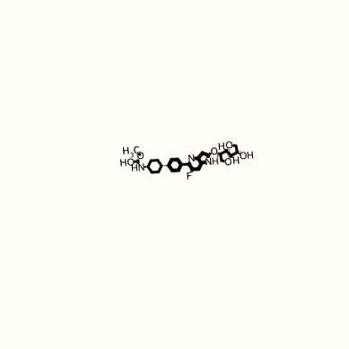 COC(O)N[C@H]1CC[C@H](c2ccc(-c3nc4cc(O[C@@H]5CO[C@H]6[C@@H]5OC[C@H]6O)[nH]c4cc3F)cc2)CC1